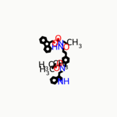 CCCN(NC(=O)/C=C/c1ccc(CN(CCc2c[nH]c3ccccc23)C(=O)OC(C)(C)C)cc1)C(=O)OCC1c2ccccc2-c2ccccc21